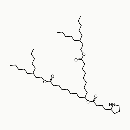 CCCCCC(CCCCC)CCOC(=O)CCCCCCCC(CCCCCCCC(=O)OCCC(CCCCC)CCCCC)OC(=O)CCCC1CCCN1